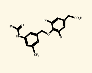 CC(C)C(=O)Nc1cc(COc2c(Br)cc(CC(=O)O)cc2Br)cc(C(F)(F)F)c1